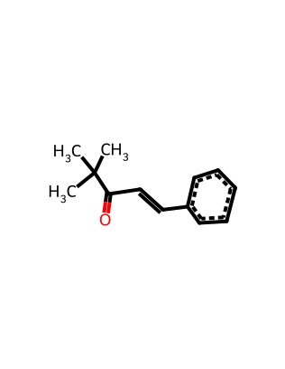 CC(C)(C)C(=O)C=Cc1ccccc1